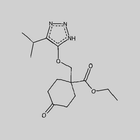 CCOC(=O)C1(COc2[nH]nnc2C(C)C)CCC(=O)CC1